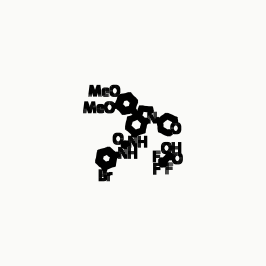 COc1ccc(C23CCC(NC(=O)Nc4cccc(Br)c4)CC2N(C2CCOCC2)CC3)cc1OC.O=C(O)C(F)(F)F